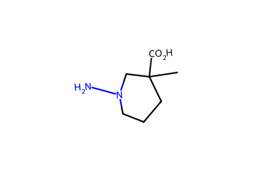 CC1(C(=O)O)CCCN(N)C1